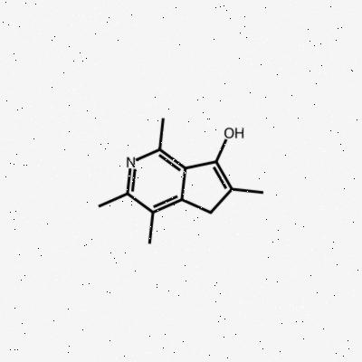 CC1=C(O)c2c(C)nc(C)c(C)c2C1